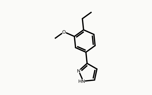 CCc1ccc(-c2cc[nH]n2)cc1OC